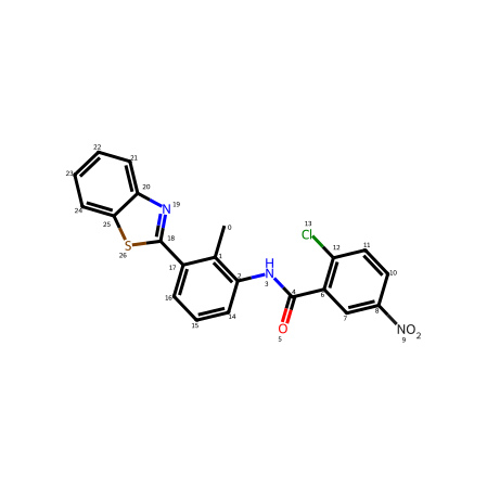 Cc1c(NC(=O)c2cc([N+](=O)[O-])ccc2Cl)cccc1-c1nc2ccccc2s1